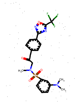 CN(C)c1cccc(S(=O)(=O)N(C)CC(=O)c2ccc(-c3noc(C(F)(F)F)n3)cc2)c1